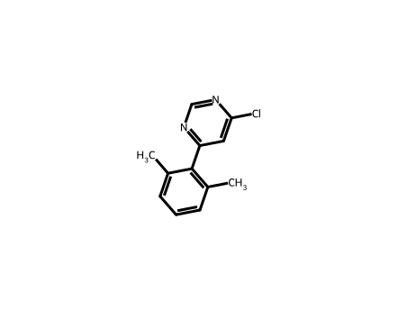 Cc1cccc(C)c1-c1cc(Cl)ncn1